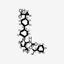 C[C@@H](OC(=O)Nc1c(C(F)(F)F)cnn1-c1ccc(-c2ccc(C3(C(=O)O)CC3)cc2)cc1)c1ccccc1